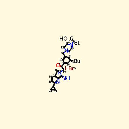 Br.CCC(C(=O)O)N1CCN(Cc2cc(C(=O)CN3Cc4ccc(C5CC5)nc4C3=N)cc(C(C)(C)C)c2)CC1